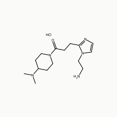 CN(C)C1CCN(C(=O)CCc2nccn2CCN)CC1.Cl